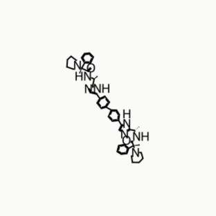 C[C@H](NC(=O)[C@@](C)(c1ccccc1)N1CCCCC1)c1ncc(-c2ccc(-c3ccc(-c4cnc([C@H](C)NC(=O)[C@@](C)(c5ccccc5)N5CCCCC5)[nH]4)cc3)cc2)[nH]1